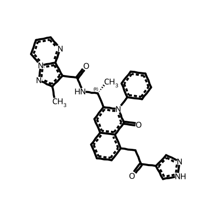 Cc1nn2cccnc2c1C(=O)N[C@H](C)c1cc2cccc(CC(=O)c3cn[nH]c3)c2c(=O)n1-c1ccccc1